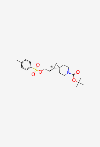 Cc1ccc(S(=O)(=O)OCC[C@H]2CC23CCN(C(=O)OC(C)(C)C)CC3)cc1